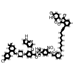 CC1(C)CCC(CN2CCN(c3ccc(C(=O)NS(=O)(=O)c4ccc(NCC5CCCN(CCCCCCCCC#Cc6cccc7c6C(=O)N(C6CCC(=O)NC6=O)C7=O)C5)c([N+](=O)[O-])c4)c(Oc4cnc5[nH]ccc5c4)c3)CC2)=C(c2ccc(Cl)cc2)C1